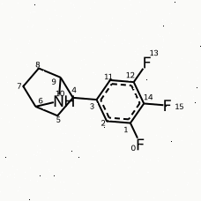 Fc1cc(C2CC3CCC2N3)cc(F)c1F